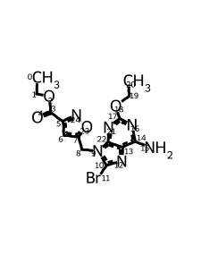 CCOC(=O)c1cc(Cn2c(Br)nc3c(N)nc(OCC)nc32)on1